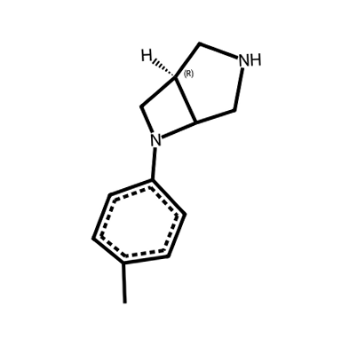 Cc1ccc(N2C[C@H]3CNCC32)cc1